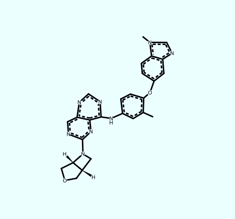 Cc1cc(Nc2ncnc3cnc(N4C[C@@H]5COC[C@@H]54)nc23)ccc1Oc1ccc2c(c1)ncn2C